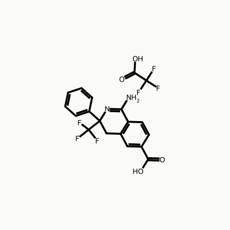 NC1=NC(c2ccccc2)(C(F)(F)F)Cc2cc(C(=O)O)ccc21.O=C(O)C(F)(F)F